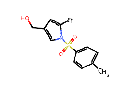 CCc1cc(CO)cn1S(=O)(=O)c1ccc(C)cc1